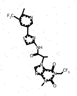 Cc1ncc(-c2nc(NC(=O)C(C)n3cnc4c3c(=O)n(CC(F)(F)F)c(=O)n4C)cs2)cc1C(F)(F)F